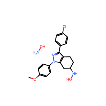 COc1ccc(-n2nc(-c3ccc(Cl)cc3)c3c2CC(NO)CC3)cc1.NO